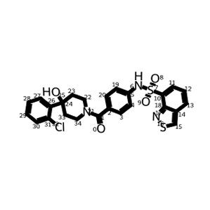 O=C(c1ccc(NS(=O)(=O)c2cccc3csnc23)cc1)N1CCC(O)(c2ccccc2Cl)CC1